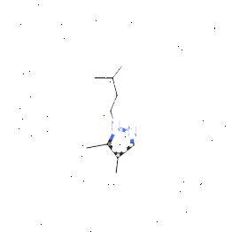 Cc1cnn(CCC(C)C)c1C